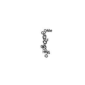 COCC(=O)N1CCN(c2ccc(N3CC(CNC(=S)C4CCCC4)OC3=O)cc2F)CC1